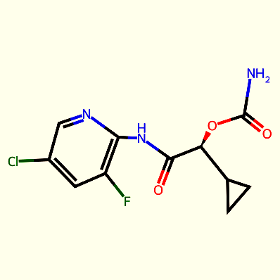 NC(=O)O[C@H](C(=O)Nc1ncc(Cl)cc1F)C1CC1